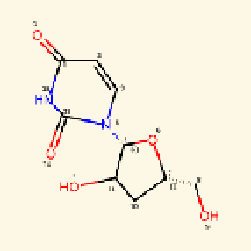 O=c1ccn([C@@H]2O[C@H](CO)CC2O)c(=O)[nH]1